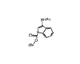 CC(=O)Nc1cn(C(=O)OC(C)(C)C)c2ccccc12